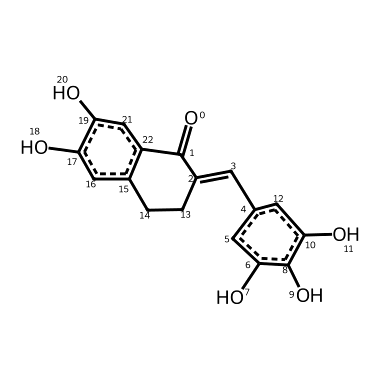 O=C1C(=Cc2cc(O)c(O)c(O)c2)CCc2cc(O)c(O)cc21